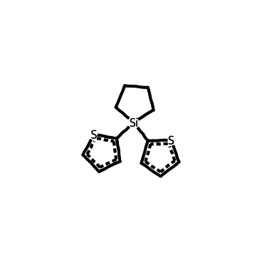 c1csc([Si]2(c3cccs3)CCCC2)c1